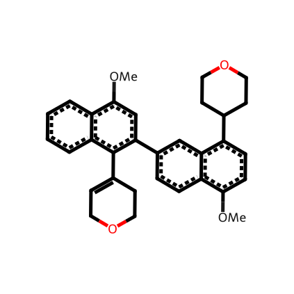 COc1ccc(C2CCOCC2)c2cc(-c3cc(OC)c4ccccc4c3C3=CCOCC3)ccc12